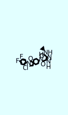 O=C(NC1CC1)c1nc[nH]c1C(=O)NC1CCC2(CC1)CCN(c1cc(F)c(F)cc1Cl)C2=O